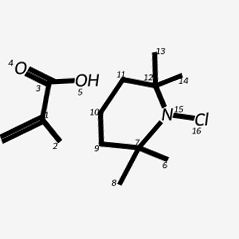 C=C(C)C(=O)O.CC1(C)CCCC(C)(C)N1Cl